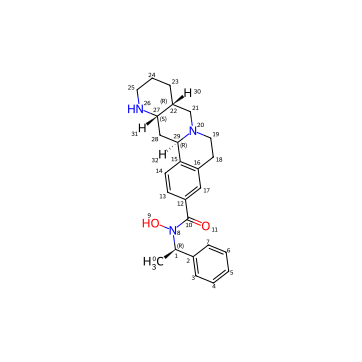 C[C@H](c1ccccc1)N(O)C(=O)c1ccc2c(c1)CCN1C[C@H]3CCCN[C@H]3C[C@H]21